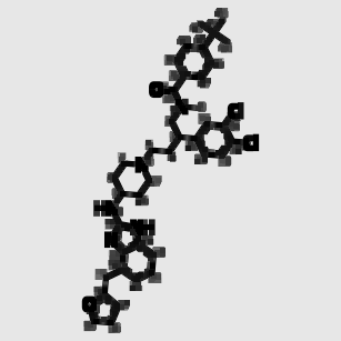 CN(CC(CCN1CCC(Nc2nc3c(Cc4ccco4)cccc3[nH]2)CC1)c1ccc(Cl)c(Cl)c1)C(=O)c1ccc(C(C)(C)C)cc1